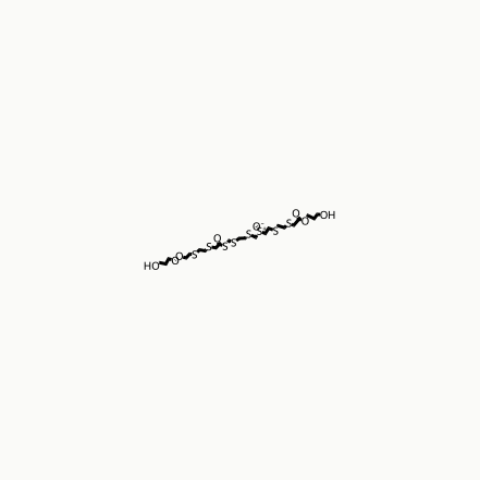 O=C(CSCCSCC[S+]([O-])CSCCSCSC(=O)CSCCSCCOOCCCO)OCCCO